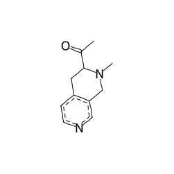 CC(=O)C1Cc2ccncc2CN1C